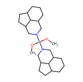 CO[Si](OC)(N1CC2CCCC3CCC(C1)C32)N1CC2CCCC3CCC(C1)C32